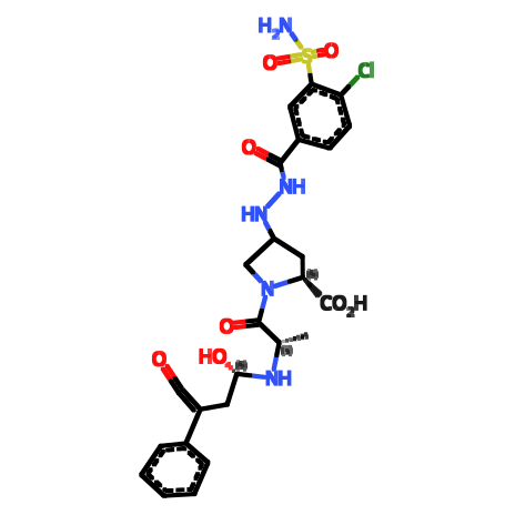 C[C@H](N[C@@H](O)CC(=C=O)c1ccccc1)C(=O)N1CC(NNC(=O)c2ccc(Cl)c(S(N)(=O)=O)c2)C[C@H]1C(=O)O